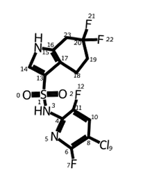 O=S(=O)(Nc1nc(F)c(Cl)cc1F)c1c[nH]c2c1CCC(F)(F)C2